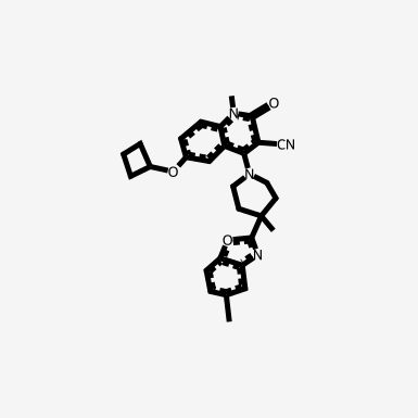 Cc1ccc2oc(C3(C)CCN(c4c(C#N)c(=O)n(C)c5ccc(OC6CCC6)cc45)CC3)nc2c1